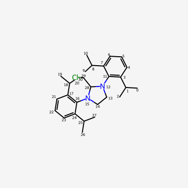 CC(C)c1cccc(C(C)C)c1N1CCN(c2c(C(C)C)cccc2C(C)C)C1CCl